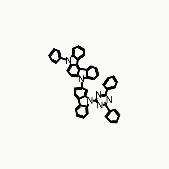 c1ccc(-c2nc(-c3ccccc3)nc(-n3c4ccccc4c4ccc(-n5c6ccccc6c6c7c8ccccc8n(-c8ccccc8)c7ccc65)cc43)n2)cc1